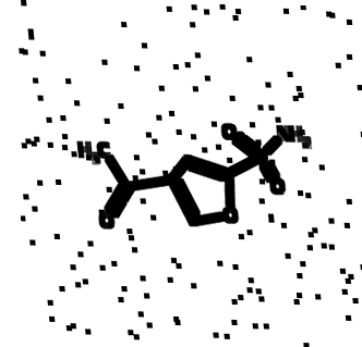 CC(=O)c1coc(S(N)(=O)=O)c1